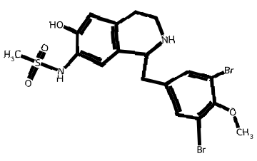 COc1c(Br)cc(CC2NCCc3cc(O)c(NS(C)(=O)=O)cc32)cc1Br